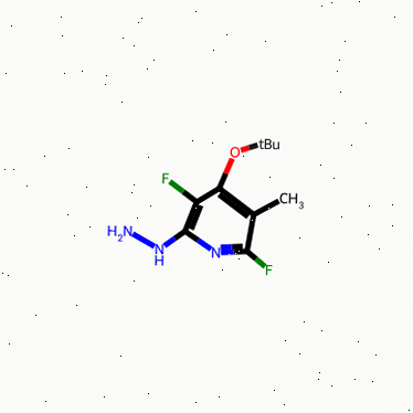 Cc1c(F)nc(NN)c(F)c1OC(C)(C)C